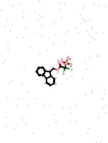 O=C(OCC1c2ccccc2C2C=CC=CC21)C(F)(F)S(=O)(=O)O